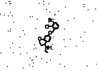 CCNC1CCOc2cc(OCc3cccc(Br)c3Cl)ccc21